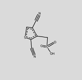 N#Cc1csc(C#N)c1CS(=O)(=O)O